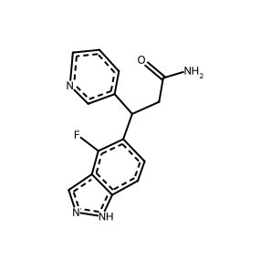 NC(=O)CC(c1cccnc1)c1ccc2[nH]ncc2c1F